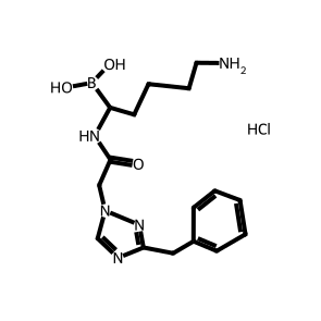 Cl.NCCCCC(NC(=O)Cn1cnc(Cc2ccccc2)n1)B(O)O